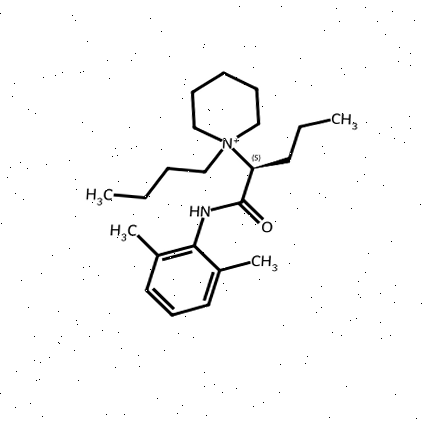 CCCC[N+]1([C@@H](CCC)C(=O)Nc2c(C)cccc2C)CCCCC1